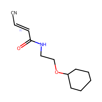 N#C/C=C/C(=O)NCCOC1CCCCC1